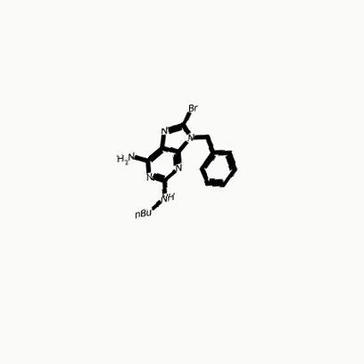 CCCCNc1nc(N)c2nc(Br)n(Cc3ccccc3)c2n1